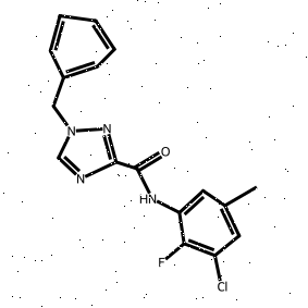 Cc1cc(Cl)c(F)c(NC(=O)c2ncn(Cc3ccccc3)n2)c1